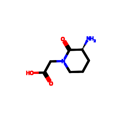 N[C@@H]1CCCN(CC(=O)O)C1=O